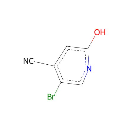 N#Cc1cc(O)ncc1Br